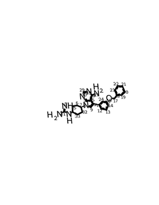 N=C(N)N[C@H]1CC[C@@H](n2cc(-c3cccc(OCc4ccccc4)c3)c3c(N)ncnc32)CC1